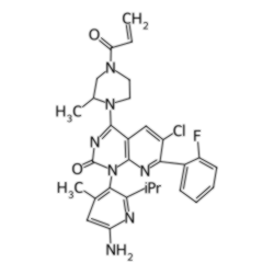 C=CC(=O)N1CCN(c2nc(=O)n(-c3c(C)cc(N)nc3C(C)C)c3nc(-c4ccccc4F)c(Cl)cc23)C(C)C1